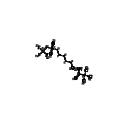 O=C(NOCCCCCS(=O)(=O)CC(F)(F)F)C(Cl)(Cl)Cl